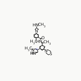 CN/C=C(\C=N)c1cc([C@@H](C)NC(=O)c2cc(N3CC(NC)C3)ccc2C)cc(N2CCSCC2)c1